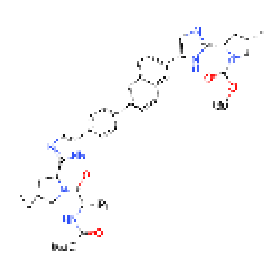 COC(=O)N[C@H](C(=O)N1CC2(CC2)C[C@H]1c1ncc(-c2ccc(-c3ccc4cc(-c5cnc([C@@H]6C[C@H](C)CN6C(=O)OC(C)(C)C)[nH]5)ccc4c3)cc2)[nH]1)C(C)C